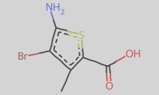 Cc1c(C(=O)O)sc(N)c1Br